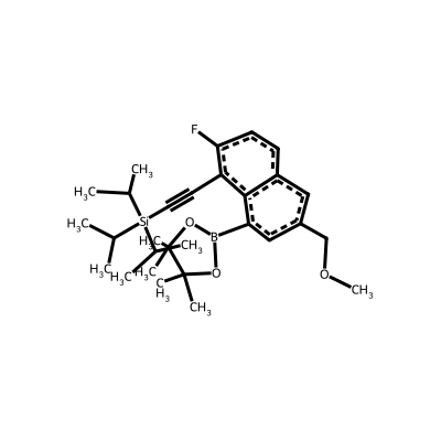 COCc1cc(B2OC(C)(C)C(C)(C)O2)c2c(C#C[Si](C(C)C)(C(C)C)C(C)C)c(F)ccc2c1